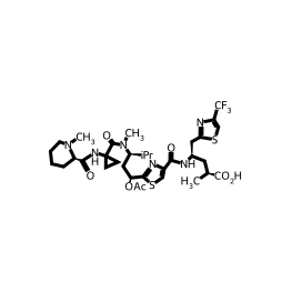 CC(=O)O[C@H](C[C@H](C(C)C)N(C)C(=O)C1(NC(=O)[C@H]2CCCCN2C)CC1)c1nc(C(=O)N[C@@H](Cc2nc(C(F)(F)F)cs2)C[C@H](C)C(=O)O)cs1